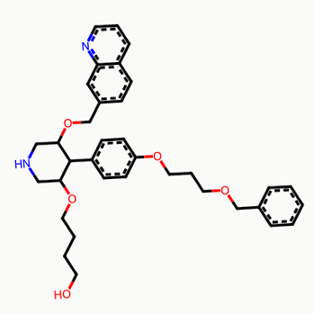 OCCCCOC1CNCC(OCc2ccc3cccnc3c2)C1c1ccc(OCCCOCc2ccccc2)cc1